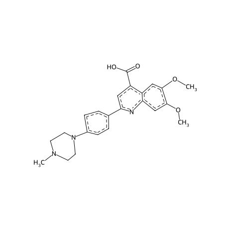 COc1cc2nc(-c3ccc(N4CCN(C)CC4)cc3)cc(C(=O)O)c2cc1OC